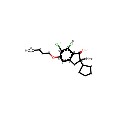 CCCCCCC1(C2CCCC2)Cc2cc(OCCCC(=O)O)c(Cl)c(Cl)c2C1=O